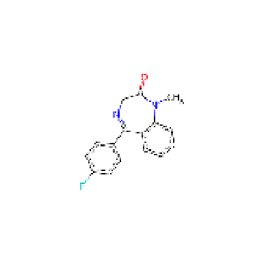 CN1C(=O)[CH]N=C(c2ccc(F)cc2)c2ccccc21